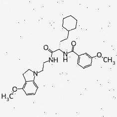 COc1cccc(C(=O)N[C@@H](CCC2CCCCC2)C(=O)NCCN2CCc3c(OC)cccc32)c1